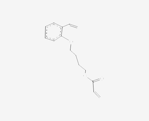 C=CC(=O)OCCCCOc1ccccc1C=C